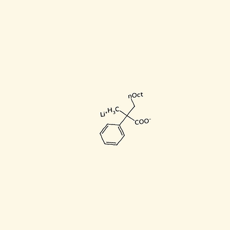 CCCCCCCCCC(C)(C(=O)[O-])c1ccccc1.[Li+]